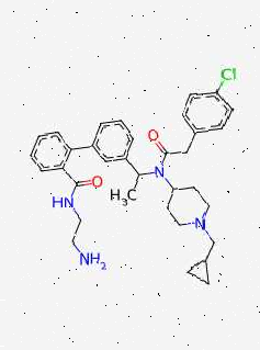 CC(c1cccc(-c2ccccc2C(=O)NCCN)c1)N(C(=O)Cc1ccc(Cl)cc1)C1CCN(CC2CC2)CC1